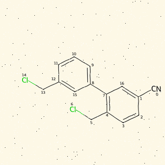 N#Cc1ccc(CCl)c(-c2cccc(CCl)c2)c1